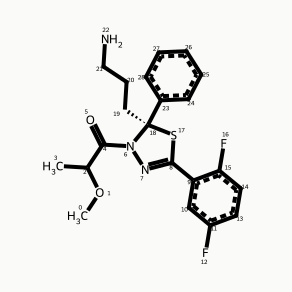 COC(C)C(=O)N1N=C(c2cc(F)ccc2F)S[C@]1(CCCN)c1ccccc1